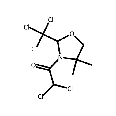 CC1(C)COC(C(Cl)(Cl)Cl)N1C(=O)C(Cl)Cl